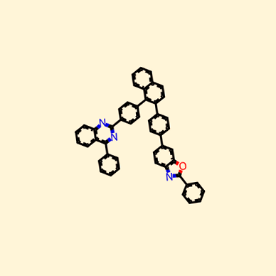 c1ccc(-c2nc3ccc(-c4ccc(-c5ccc6ccccc6c5-c5ccc(-c6nc(-c7ccccc7)c7ccccc7n6)cc5)cc4)cc3o2)cc1